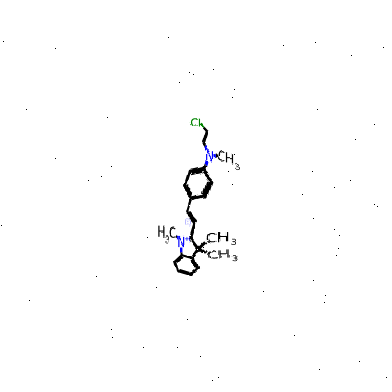 CN(CCCl)c1ccc(/C=C/C2=[N+](C)c3ccccc3C2(C)C)cc1